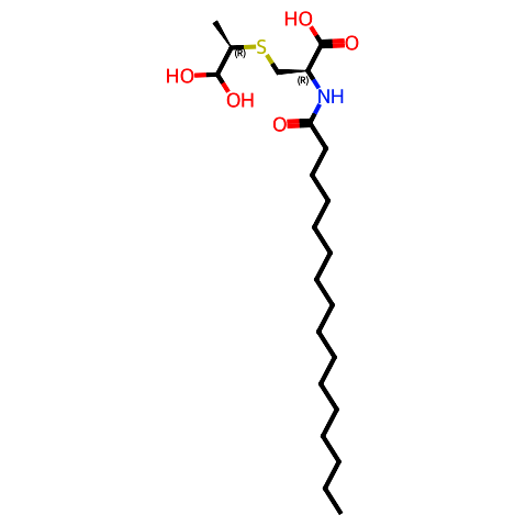 CCCCCCCCCCCCCCCC(=O)N[C@@H](CS[C@H](C)C(O)O)C(=O)O